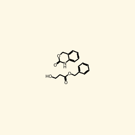 O=C(CCO)OCc1ccccc1.O=C1Nc2ccccc2CO1